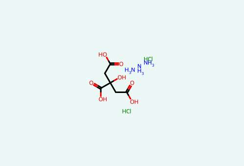 Cl.Cl.N.N.N.O=C(O)CC(O)(CC(=O)O)C(=O)O